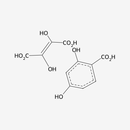 O=C(O)/C(O)=C(\O)C(=O)O.O=C(O)c1ccc(O)cc1O